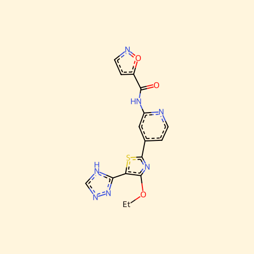 CCOc1nc(-c2ccnc(NC(=O)c3ccno3)c2)sc1-c1nnc[nH]1